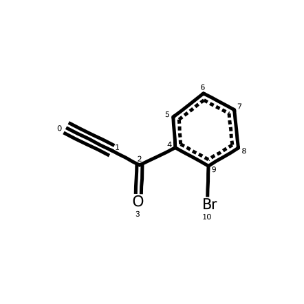 C#CC(=O)c1ccccc1Br